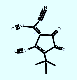 [C-]#[N+]C1=C(C(C)(C)C)C(=O)C(=O)/C1=C(\C#N)[N+]#[C-]